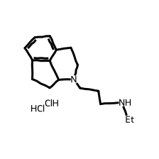 CCNCCCN1CCc2cccc3c2C1CC3.Cl.Cl